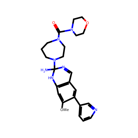 COc1cc2c(cc1-c1cccnc1)C=NC(N)(N1CCCN(C(=O)N3CCOCC3)CC1)N2